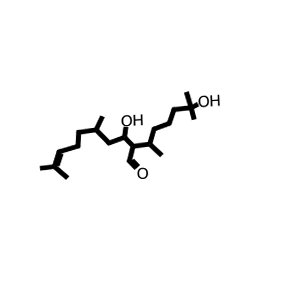 CC(C)=CCCC(C)CC(O)C(C=O)C(C)CCCC(C)(C)O